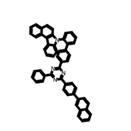 c1ccc(-c2nc(-c3ccc(-c4ccc5ccccc5c4)cc3)nc(-c3ccc(-c4ccccc4-n4c5ccccc5c5c6ccccc6ccc54)cc3)n2)cc1